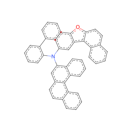 c1ccc(-c2ccccc2N(c2ccc3oc4ccc5ccccc5c4c3c2)c2cc3ccc4ccccc4c3c3ccccc23)cc1